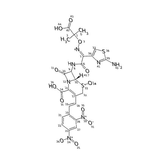 CC(C)(ON=C(C(=O)NC1C(=O)N2C(C(=O)O)=C(C=Cc3ccc([N+](=O)[O-])cc3[N+](=O)[O-])C[S+]([O-])[C@@H]12)c1csc(N)n1)C(=O)O